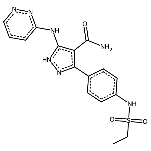 CCS(=O)(=O)Nc1ccc(-c2n[nH]c(Nc3cccnn3)c2C(N)=O)cc1